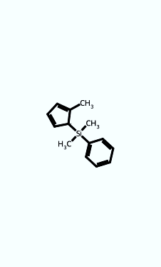 CC1=CC=C[C]1[Si](C)(C)c1ccccc1